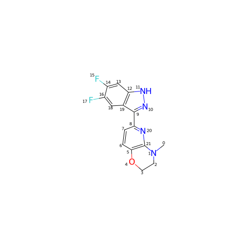 CN1CCOc2ccc(-c3n[nH]c4cc(F)c(F)cc34)nc21